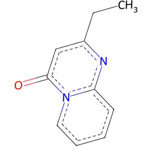 CCc1cc(=O)n2ccccc2n1